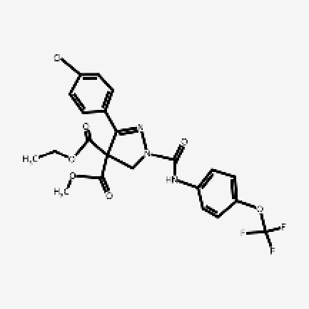 CCOC(=O)C1(C(=O)OC)CN(C(=O)Nc2ccc(OC(F)(F)F)cc2)N=C1c1ccc(Cl)cc1